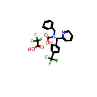 O=C(O)C(F)(F)F.O=C(O)N(Cc1ccccc1)[C@@H](c1ccc(C(F)(F)F)cc1)c1ccccn1